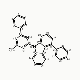 Clc1nc(-c2ccccc2)nc(-n2c3ccccc3c3c(-c4ccccc4)cccc32)n1